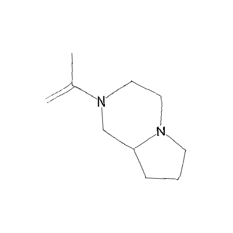 C=C(C)N1CCN2CCCC2C1